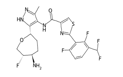 Cc1n[nH]c([C@@H]2CC[C@@H](N)[C@H](F)CO2)c1NC(=O)c1csc(-c2c(F)ccc(C(F)F)c2F)n1